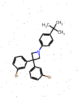 CC(C)(C)c1ccc(N2CC(c3cccc(Br)c3)(c3cccc(Br)c3)C2)cc1